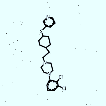 Clc1cccc(N2CCN(CCC3CCC(Sc4cccnc4)CC3)CC2)c1Cl